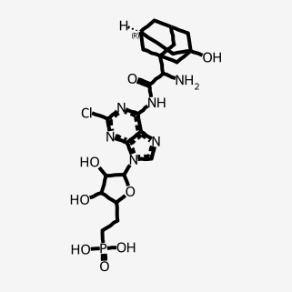 NC(C(=O)Nc1nc(Cl)nc2c1ncn2C1OC(CCP(=O)(O)O)C(O)C1O)C12CC3C[C@@H](CC(O)(C3)C1)C2